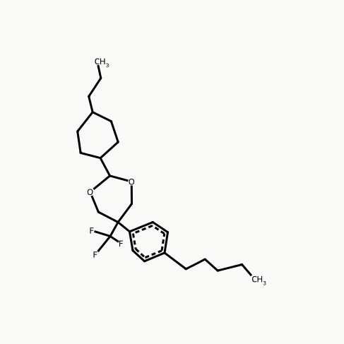 CCCCCc1ccc(C2(C(F)(F)F)COC(C3CCC(CCC)CC3)OC2)cc1